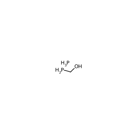 OCP.P